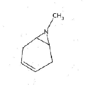 CN1C2CC=CCC21